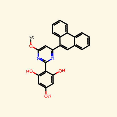 CCOc1cc(-c2cc3ccccc3c3ccccc23)nc(-c2c(O)cc(O)cc2O)n1